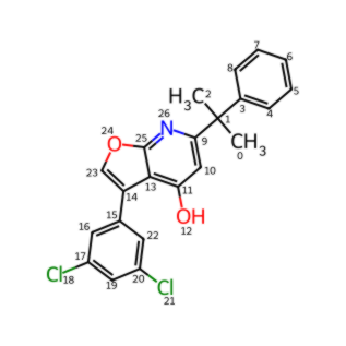 CC(C)(c1ccccc1)c1cc(O)c2c(-c3cc(Cl)cc(Cl)c3)coc2n1